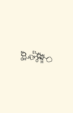 CCc1nc2nc(C3=CCCCCC3)[nH]n2c(=O)c1N1CCN(Cc2ccncc2O)CC1